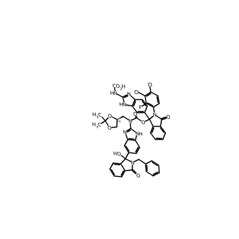 CC1(C)OC[C@H](CN(C(=O)OC2(c3ccc4nc(NC(=O)O)[nH]c4c3)c3ccccc3C(=O)N2c2ccc(Cl)c(Cl)c2F)c2nc3cc(C4(O)c5ccccc5C(=O)N4Cc4ccccc4)ccc3[nH]2)O1